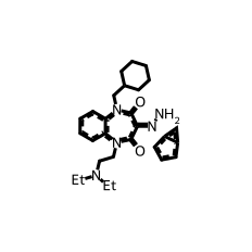 CCN(CC)CCn1c(=O)c(=NN)c(=O)n(CC2CCCCC2)c2ccccc21.c1cc2cc-2c1